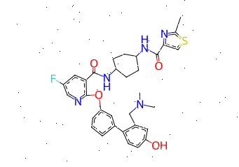 Cc1nc(C(=O)NC2CCC(NC(=O)c3cc(F)cnc3Oc3cccc(-c4ccc(O)cc4CN(C)C)c3)CC2)cs1